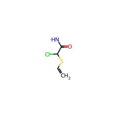 C=CSC(Cl)C([NH])=O